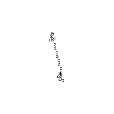 CC(C)[C@@H]1CCN(C(=O)NCCOCCOCCOCCOCCOCCOCCOCCn2cc(CN3C(=O)C=CC3=O)nn2)C1